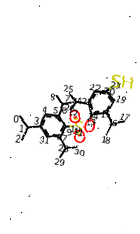 CC(C)c1cc(C(C)C)c(S(=O)(=O)Oc2c(C(C)C)cc(S)cc2C(C)C)c(C(C)C)c1